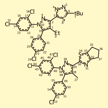 CCc1c(-c2nnc(C(C)(C)C)s2)nn(-c2ccc(Cl)cc2Cl)c1-c1ccc(Cl)cc1.Cc1c(-c2nc3c(s2)CCC3)nn(-c2ccc(Cl)cc2Cl)c1-c1ccc(Cl)cc1